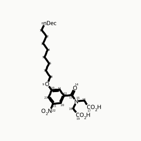 CCCCCCCCCCCCCCCCCCOc1cc(C(=O)N(CC(=O)O)CC(=O)O)cc([N+](=O)[O-])c1